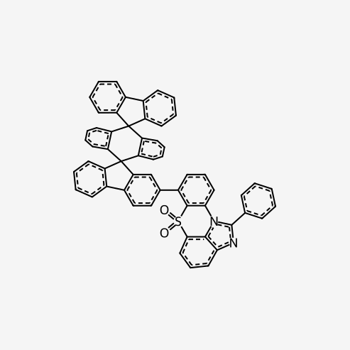 O=S1(=O)c2c(-c3ccc4c(c3)C3(c5ccccc5-4)c4ccccc4C4(c5ccccc5-c5ccccc54)c4ccccc43)cccc2-n2c(-c3ccccc3)nc3cccc1c32